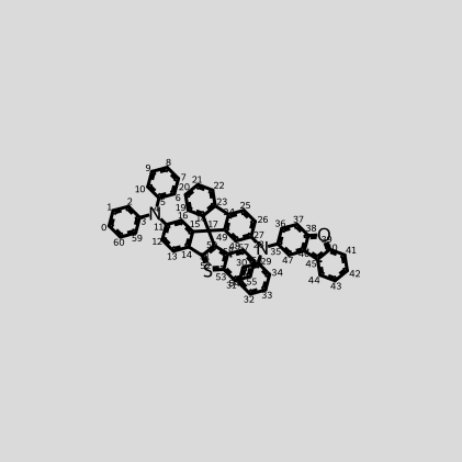 c1ccc(N(c2ccccc2)c2ccc3c(c2)C2(c4ccccc4-c4ccc(N(c5ccccc5)c5ccc6oc7ccccc7c6c5)cc42)c2c-3sc3ccccc23)cc1